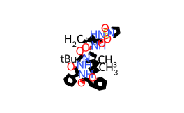 C=C[C@@H]1C[C@]1(NC(=O)[C@@H]1C[C@@]2(CN1C(=O)[C@@H](NC(=O)C(NC(=O)c1cc3ccccc3o1)C1CCCCC1)C(C)(C)C)C(C)(C)C21CCC1)C(=O)NS(=O)(=O)N1CCCC1